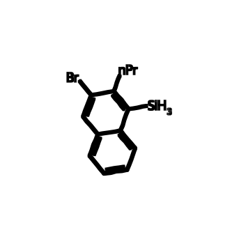 CCCc1c(Br)cc2ccccc2c1[SiH3]